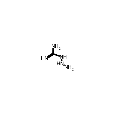 N=C(N)NNN